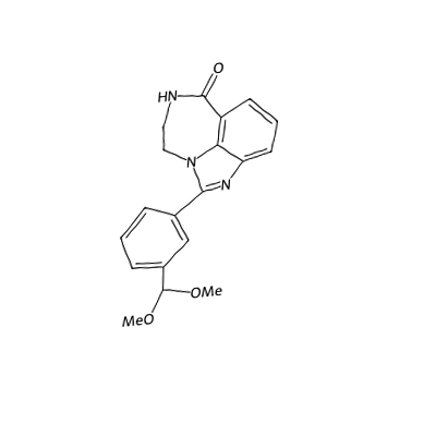 COC(OC)c1cccc(-c2nc3cccc4c3n2CCNC4=O)c1